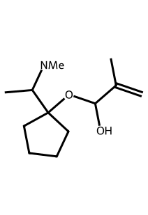 C=C(C)C(O)OC1(C(C)NC)CCCC1